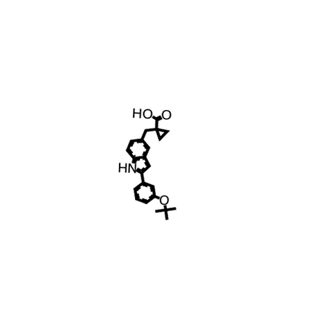 CC(C)(C)Oc1cccc(-c2cc3cc(CC4(C(=O)O)CC4)ccc3[nH]2)c1